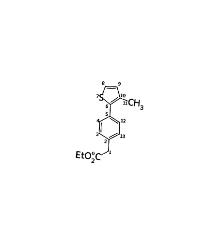 CCOC(=O)Cc1ccc(-c2sccc2C)cc1